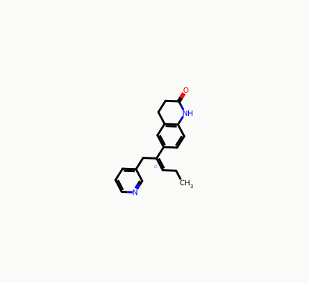 CC/C=C(/Cc1cccnc1)c1ccc2c(c1)CCC(=O)N2